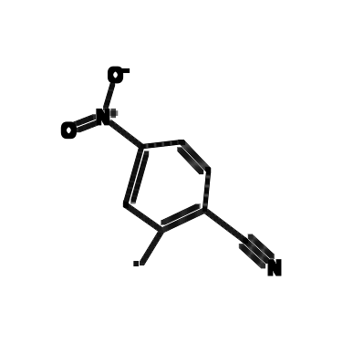 [CH2]c1cc([N+](=O)[O-])ccc1C#N